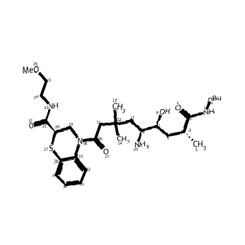 CCCCNC(=O)[C@H](C)C[C@H](O)[C@@H](N)CC(C)(C)CC(=O)N1C[C@H](C(=O)NCCOC)Sc2ccccc21